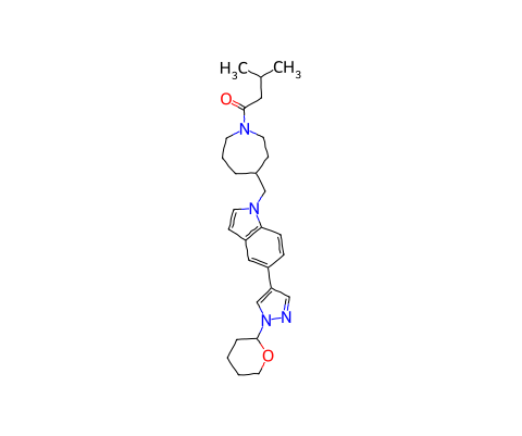 CC(C)CC(=O)N1CCCC(Cn2ccc3cc(-c4cnn(C5CCCCO5)c4)ccc32)CC1